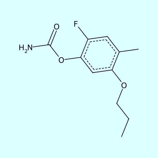 CCCOc1cc(OC(N)=O)c(F)cc1C